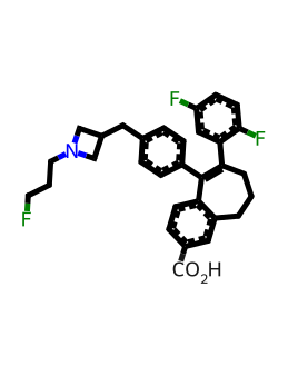 O=C(O)c1ccc2c(c1)CCCC(c1cc(F)ccc1F)=C2c1ccc(CC2CN(CCCF)C2)cc1